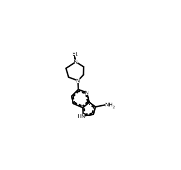 CCN1CCN(c2ccc3[nH]cc(N)c3n2)CC1